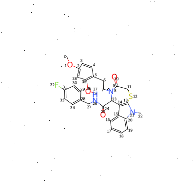 COc1ccc(CCN2C(=O)CSc3c(c4ccccc4n3C)C2C(=O)NCc2ccc(F)cc2)c(OC)c1